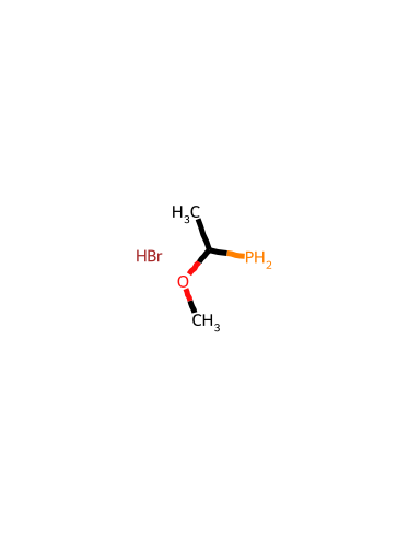 Br.COC(C)P